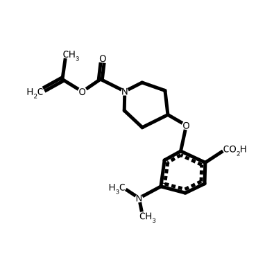 C=C(C)OC(=O)N1CCC(Oc2cc(N(C)C)ccc2C(=O)O)CC1